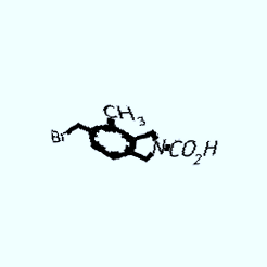 Cc1c(CBr)ccc2c1CN(C(=O)O)C2